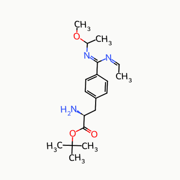 C/C=N\C(=N/C(C)OC)c1ccc(C[C@H](N)C(=O)OC(C)(C)C)cc1